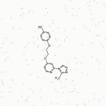 Cc1nccn1-c1cc(OCCOc2ccc(C#N)cc2)ccn1